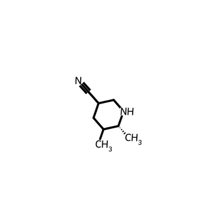 CC1CC(C#N)CN[C@@H]1C